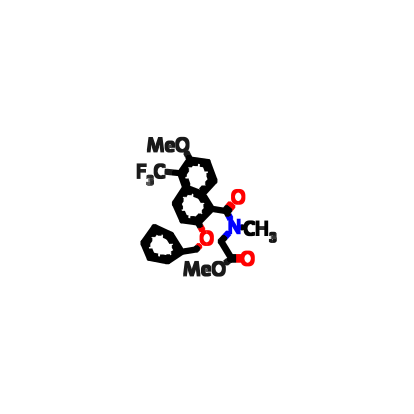 COC(=O)CN(C)C(=O)c1c(OCc2ccccc2)ccc2c(C(F)(F)F)c(OC)ccc12